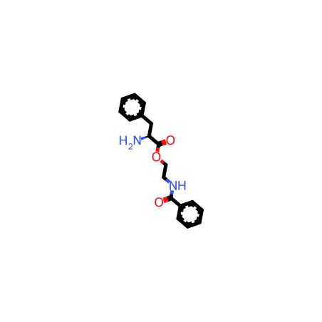 N[C@@H](Cc1ccccc1)C(=O)OCCNC(=O)c1ccccc1